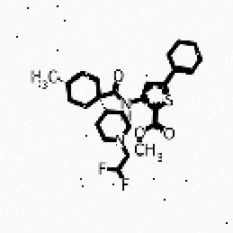 COC(=O)c1sc(C2=CCCCC2)cc1NC(=O)[C@]1(C2CCN(CC(F)F)CC2)CC[C@@H](C)CC1